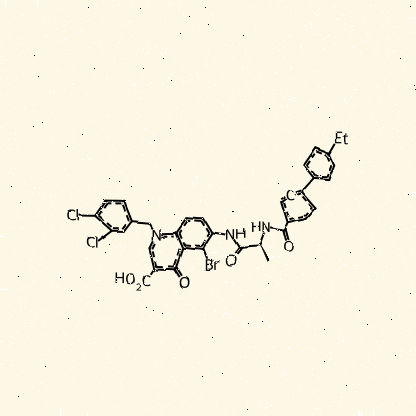 CCc1ccc(-c2ccc(C(=O)N[C@@H](C)C(=O)Nc3ccc4c(c3Br)c(=O)c(C(=O)O)cn4Cc3ccc(Cl)c(Cl)c3)cc2)cc1